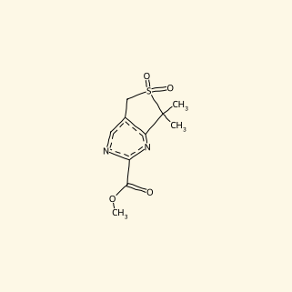 COC(=O)c1ncc2c(n1)C(C)(C)S(=O)(=O)C2